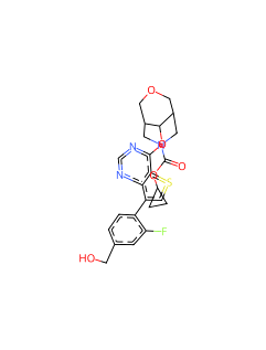 O=C(OC1CC1)N1CC2COCC(C1)C2Oc1ncnc2c(-c3ccc(CO)cc3F)csc12